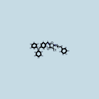 CCN1C(=O)/C(=C\c2ccc(N(c3ccccc3)c3ccccc3)cc2)O/C1=N/OCc1ccccc1